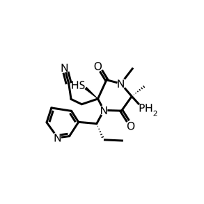 CC[C@H](c1cccnc1)N1C(=O)[C@](C)(P)N(C)C(=O)[C@@]1(S)CCC#N